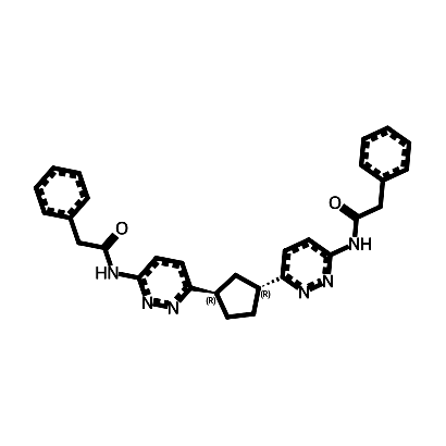 O=C(Cc1ccccc1)Nc1ccc([C@@H]2CC[C@@H](c3ccc(NC(=O)Cc4ccccc4)nn3)C2)nn1